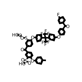 Cc1ccc(Oc2ccc(C(=O)c3ccc(Oc4ccc(C(c5ccc(Oc6ccc(C(=O)c7ccc(F)cc7)cc6)cc5)(C(F)(F)F)C(F)(F)F)cc4)c(SOOO)c3)cc2S(=O)(=O)O)cc1